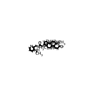 CSc1cccnc1CNC(=O)C[C@H]1CC[C@H]2[C@@H]3CC[C@H]4N(C)C(=O)C=C[C@]4(C)[C@H]3CC[C@]12C